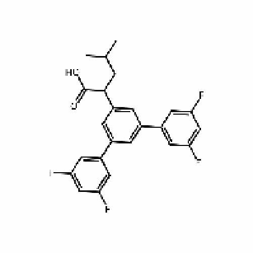 CC(C)CC(C(=O)O)c1cc(-c2cc(F)cc(F)c2)cc(-c2cc(F)cc(F)c2)c1